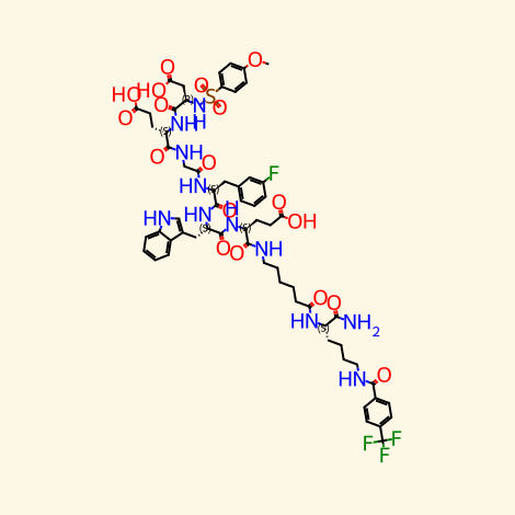 COc1ccc(S(=O)(=O)N[C@H](CC(=O)O)C(=O)N[C@@H](CCC(=O)O)C(=O)NCC(=O)N[C@@H](Cc2cccc(F)c2)C(=O)N[C@@H](Cc2c[nH]c3ccccc23)C(=O)N[C@@H](CCC(=O)O)C(=O)NCCCCCC(=O)N[C@@H](CCCCNC(=O)c2ccc(C(F)(F)F)cc2)C(N)=O)cc1